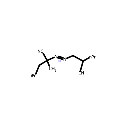 CCCC(C#N)C/N=N/C(C)(C#N)CC(C)C